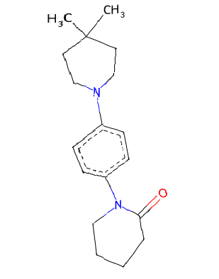 CC1(C)CCN(c2ccc(N3CCCCC3=O)cc2)CC1